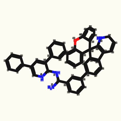 NC(NC1NC=C(c2ccccc2)C=C1c1ccccc1)c1cccc(-c2ccc3c(c2)C2(C4=C3C=CCN4)c3ccccc3Oc3ccccc32)c1